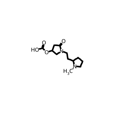 CN1CCCC1CCN1CC(OC(=O)O)CC1=O